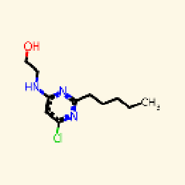 CCCCCc1nc(Cl)cc(NCCO)n1